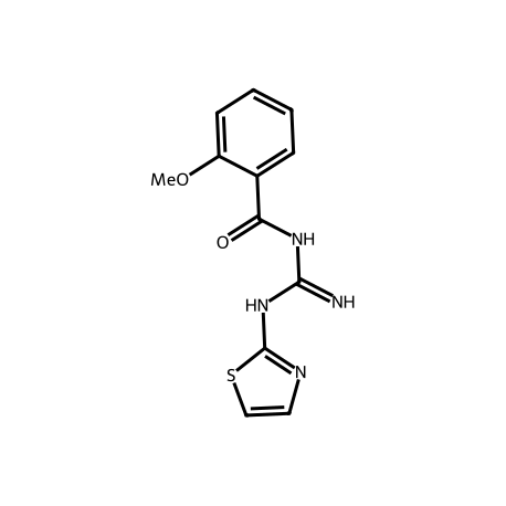 COc1ccccc1C(=O)NC(=N)Nc1nccs1